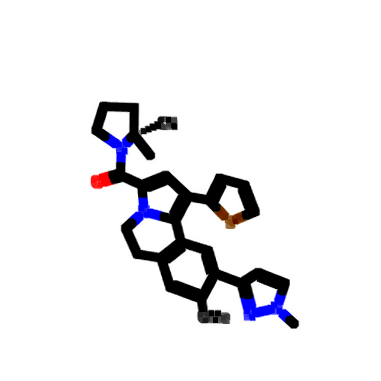 COc1cc2c(cc1-c1ccn(C)n1)-c1c(-c3cccs3)cc(C(=O)N3CCC[C@]3(C)C#N)n1CC2